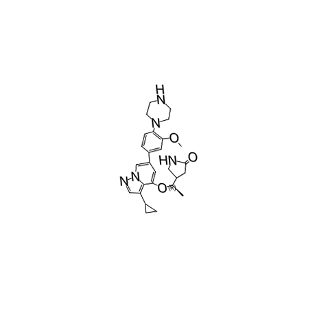 COc1cc(-c2cc(O[C@H](C)C3CNC(=O)C3)c3c(C4CC4)cnn3c2)ccc1N1CCNCC1